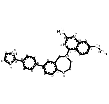 COc1ccc2c(N3CCOc4ccc(-c5ccc(-c6ncc[nH]6)cc5)cc4C3)nc(C)nc2c1